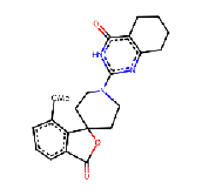 COc1cccc2c1C1(CCN(c3nc4c(c(=O)[nH]3)CCCC4)CC1)OC2=O